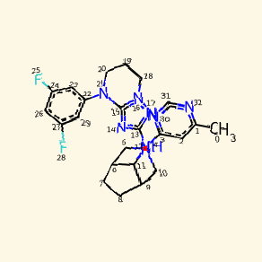 Cc1cc(N2CC3CCC(C2)C3Nc2nc3n(n2)CCCN3c2cc(F)cc(F)c2)ncn1